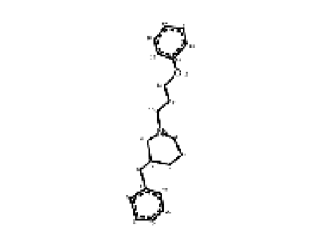 c1ccc(CC2CCCN(CCCOc3ccccc3)C2)cc1